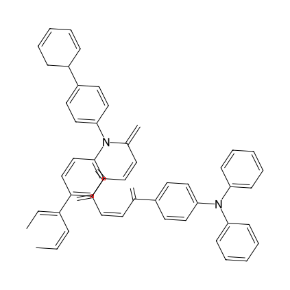 C=C(/C=C\C(=C)c1ccc(N(c2ccccc2)c2ccccc2)cc1)C(=C)/C=C\C(=C)N(c1ccc(C(/C=C\C)=C/C)cc1)c1ccc(C2C=CC=CC2)cc1